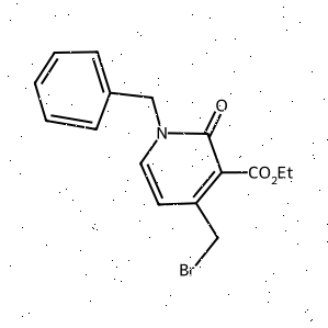 CCOC(=O)c1c(CBr)ccn(Cc2ccccc2)c1=O